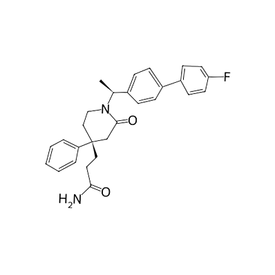 C[C@@H](c1ccc(-c2ccc(F)cc2)cc1)N1CC[C@@](CCC(N)=O)(c2ccccc2)CC1=O